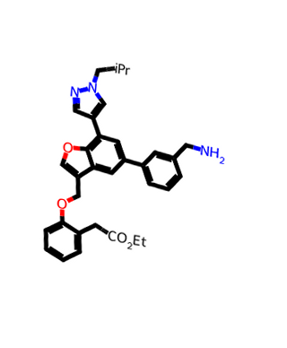 CCOC(=O)Cc1ccccc1OCc1coc2c(-c3cnn(CC(C)C)c3)cc(-c3cccc(CN)c3)cc12